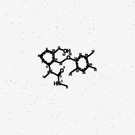 CNC(=O)N(C)c1cccc(CO)c1COc1cc(C)c(C)cc1C